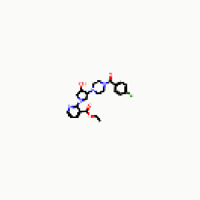 CCOC(=O)c1cccnc1N1CC(O)C(N2CCN(C(=O)c3ccc(Cl)cc3)CC2)C1